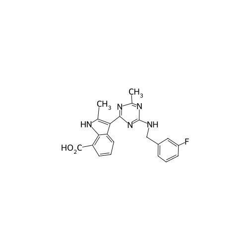 Cc1nc(NCc2cccc(F)c2)nc(-c2c(C)[nH]c3c(C(=O)O)cccc23)n1